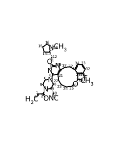 C=CC(=O)N1CCN(c2nc(OC[C@@H]3CCCN3C)nc3c2CCCCOC(C)c2c(F)cccc2CC3)C[C@@H]1CC#N